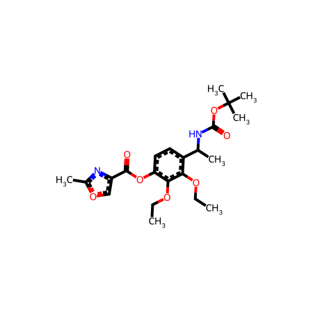 CCOc1c(OC(=O)c2coc(C)n2)ccc(C(C)NC(=O)OC(C)(C)C)c1OCC